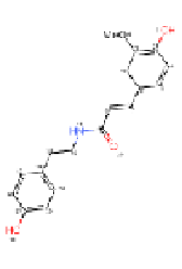 COC1=C(O)C=CC(C=CC(=O)NCCc2ccc(O)cc2)C1